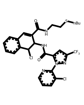 CCCCSCCNC(=O)C1=Cc2ccccc2C(Cl)C1NC(=O)c1cc(C(F)(F)F)nn1-c1ncccc1Cl